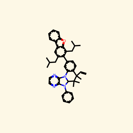 C=CC1(C)c2ccc(-c3c(CC(C)C)cc4c(oc5ccccc54)c3CC(C)C)cc2N2c3nccnc3N(c3ccccc3)C2C1(C)C